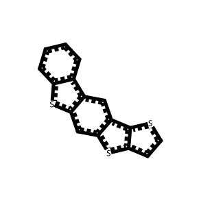 c1ccc2c(c1)sc1cc3sc4ccsc4c3cc12